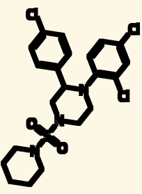 O=S(=O)(N1CCCCC1)N1CCN(c2ccc(Cl)cc2Cl)C(c2ccc(Cl)cc2)C1